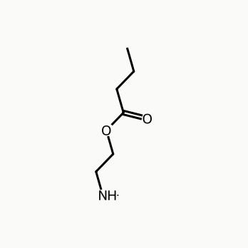 CCCC(=O)OCC[NH]